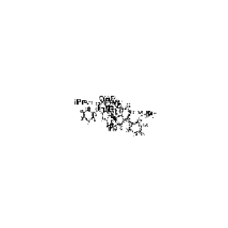 CCCC1=Cc2c(-c3ccccc3CC(C)C)cccc2[CH]1[Zr]([Cl])([Cl])([B](NC=O)NC=O)[CH]1C(CCC)=Cc2c(-c3ccccc3CC(C)C)cccc21